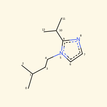 CC(C)CCn1ccnc1C(C)C